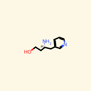 N[C@@H](CCO)Cc1cccnc1